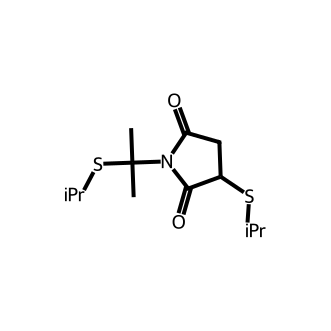 CC(C)SC1CC(=O)N(C(C)(C)SC(C)C)C1=O